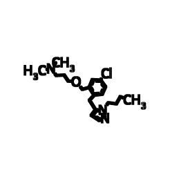 CCCCn1nccc1Cc1ccc(Cl)cc1COCCCN(C)C